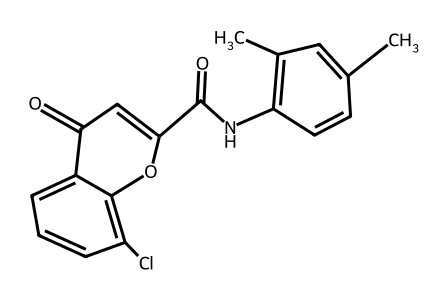 Cc1ccc(NC(=O)c2cc(=O)c3cccc(Cl)c3o2)c(C)c1